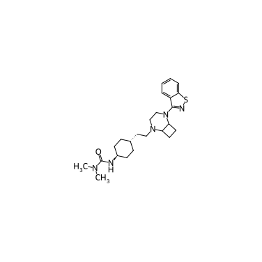 CN(C)C(=O)N[C@H]1CC[C@H](CCN2CCN(c3nsc4ccccc34)C3CCC32)CC1